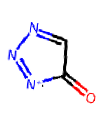 O=C1C=NN=[N+]1